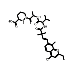 CCc1cc(Cl)c2ccc(/C=C/C(C)(C)C(=O)NC(C(=O)NC(C)C(=O)N3CCCC(C(=O)O)N3)C(C)C)c(C)c2n1